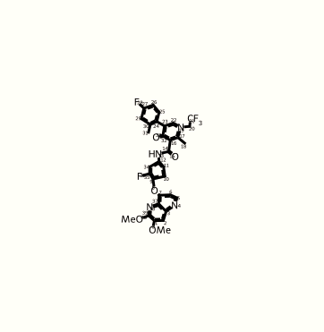 COc1cc2nccc(Oc3ccc(NC(=O)c4c(C)n(CC(F)(F)F)cc(-c5ccc(F)cc5C)c4=O)cc3F)c2nc1OC